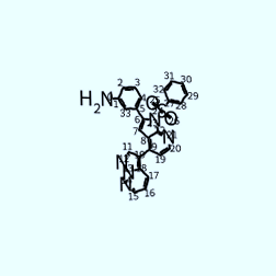 Nc1cccc(-c2cc3c(-c4cnn5ncccc45)ccnc3n2S(=O)(=O)c2ccccc2)c1